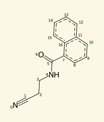 N#CCCNC(=O)c1cccc2ccccc12